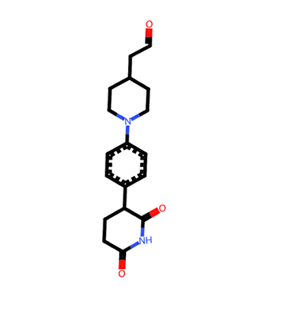 O=CCC1CCN(c2ccc(C3CCC(=O)NC3=O)cc2)CC1